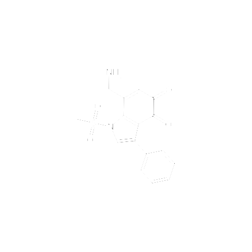 CS(=O)(=O)n1cc(-c2ccccc2)c2c1C(CN)=CC(=O)C2=O